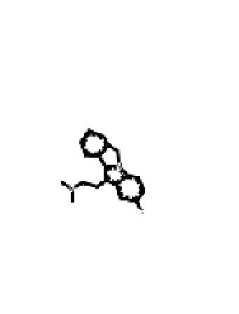 CN(C)CCc1c2n(c3ccc(F)cc13)Cc1ccccc1-2